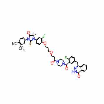 CC1(C)C(=O)N(c2ccc(C#N)c(C(F)(F)F)c2)C(=S)N1c1ccc(OCCCOCCC(=O)N2CCN(C(=O)c3cc(Cc4n[nH]c(=O)c5ccccc45)ccc3F)CC2)c(F)c1